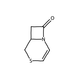 O=C1CC2CSC=CN12